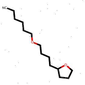 N#CCCCCCOCCCCC1CCCO1